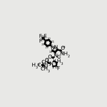 CN(C(=O)[C@@H]1C[C@@H](F)CN1C(=O)OC(C)(C)C)c1cn(-c2ccc(C(F)(F)F)cc2)nc1C(N)=O